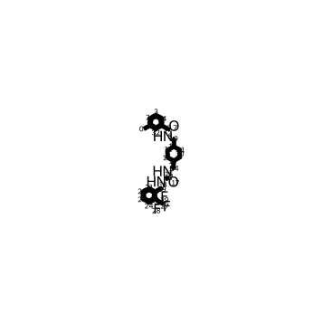 Cc1cccc(C(=O)NCC2CCC(CNC(=O)NCc3ccccc3C(F)(F)F)CC2)c1